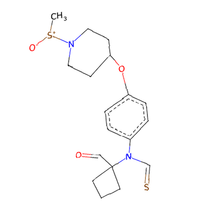 C[S+]([O-])N1CCC(Oc2ccc(N(C=S)C3(C=O)CCC3)cc2)CC1